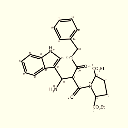 CCOC(=O)C1CCC(C(=O)OCC)N1C(=O)C(C(=O)OCc1ccccc1)C(N)c1c[nH]c2ccccc12